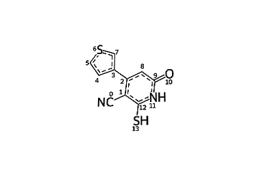 N#Cc1c(-c2ccsc2)cc(=O)[nH]c1S